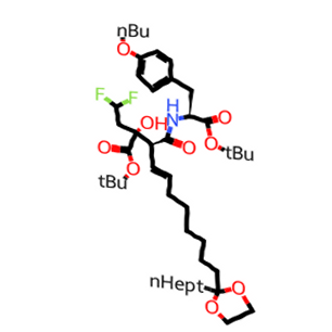 CCCCCCCC1(CCCCCC/C=C/[C@H](C(=O)N[C@@H](Cc2ccc(OCCCC)cc2)C(=O)OC(C)(C)C)[C@@](O)(CC(F)F)C(=O)OC(C)(C)C)OCCO1